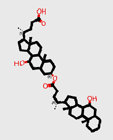 C[C@H](CCC(=O)O[C@@H]1CCC2(C)C(CC(O)C3C2CCC2(C)C3CCC2[C@H](C)CCC(=O)O)C1)C1CCC2C3C(O)CC4CCCCC4(C)C3CCC21C